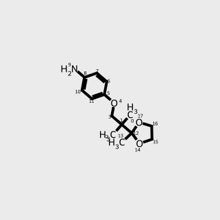 CC(C)(COc1ccc(N)cc1)C1(C)OCCO1